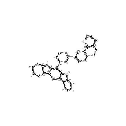 c1cc(-c2ccc3ccc4cccnc4c3n2)cc(-c2c3oc4ccccc4c3cc3c2oc2ccccc23)c1